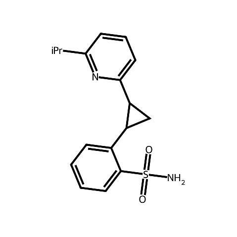 CC(C)c1cccc(C2CC2c2ccccc2S(N)(=O)=O)n1